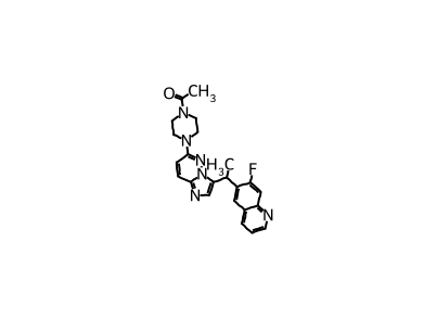 CC(=O)N1CCN(c2ccc3ncc(C(C)c4cc5cccnc5cc4F)n3n2)CC1